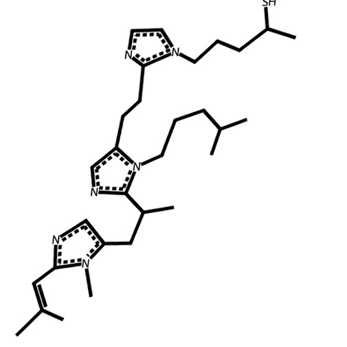 CC(C)=Cc1ncc(CC(C)c2ncc(CCc3nccn3CCCC(C)S)n2CCCC(C)C)n1C